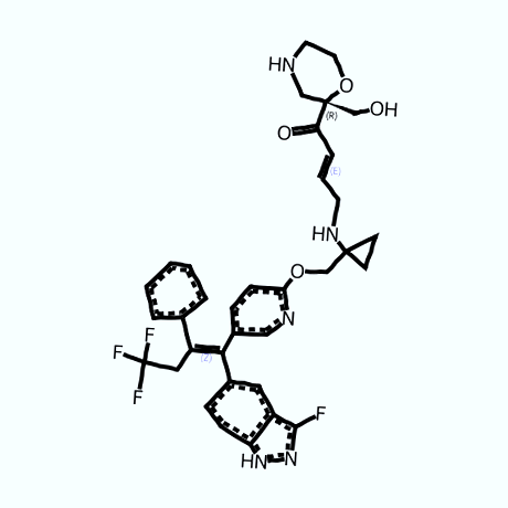 O=C(/C=C/CNC1(COc2ccc(/C(=C(/CC(F)(F)F)c3ccccc3)c3ccc4[nH]nc(F)c4c3)cn2)CC1)[C@]1(CO)CNCCO1